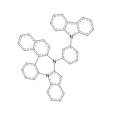 c1cc(N2c3ccc4ccccc4c3-c3ccccc3-n3c2cc2ccccc23)cc(-n2c3ccccc3c3ccccc32)c1